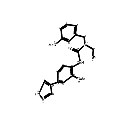 COc1cccc(CN(CC(C)C)C(=O)Nc2ccc(-c3cn[nH]c3)cc2OC)c1